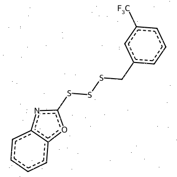 FC(F)(F)c1cccc(CSSSc2nc3ccccc3o2)c1